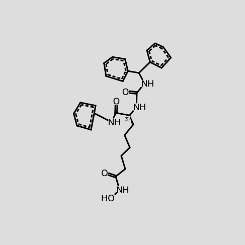 O=C(CCCCC[C@H](NC(=O)NC(c1ccccc1)c1ccccc1)C(=O)Nc1ccccc1)NO